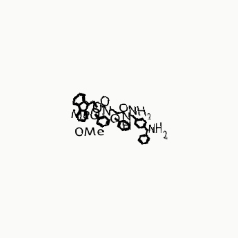 COc1ccc(N(CC(Oc2ccccc2)C(=O)NC(N)c2ccc(C(N)c3ccccc3)cc2)C(=O)OCC2c3ccccc3-c3ccccc32)c(OC)c1